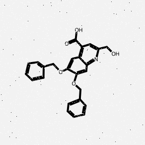 O=C(O)c1cc(CO)nc2cc(OCc3ccccc3)c(OCc3ccccc3)cc12